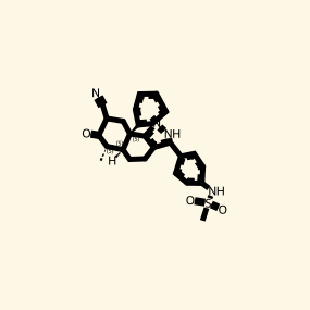 C[C@@H]1C(=O)C(C#N)C[C@]2(c3ccccc3)c3n[nH]c(-c4ccc(NS(C)(=O)=O)cc4)c3CC[C@@H]12